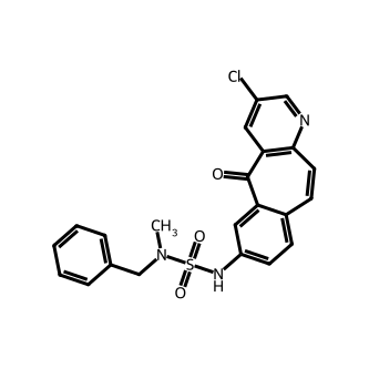 CN(Cc1ccccc1)S(=O)(=O)Nc1ccc2ccc3ncc(Cl)cc3c(=O)c2c1